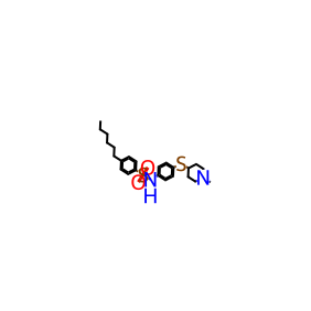 CCCCCCc1ccc(S(=O)(=O)Nc2ccc(SC3CCN(C)CC3)cc2)cc1